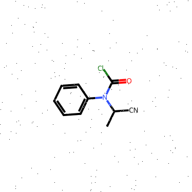 CC(C#N)N(C(=O)Cl)c1ccccc1